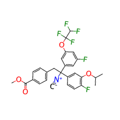 [C-]#[N+]C(Cc1ccc(C(=O)OC)cc1)(c1cc(F)cc(OC(F)(F)C(F)F)c1)c1ccc(F)c(OC(C)C)c1